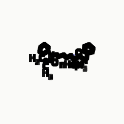 C=C(C)C(=O)N(CCCC/C=C(\C)C(=O)N(CCCCCCC)Cc1ccccc1)C1CCCCC1